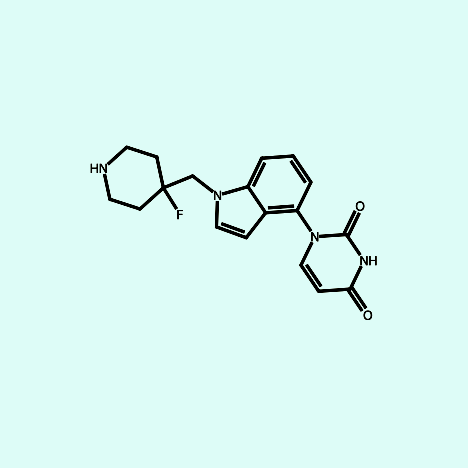 O=c1ccn(-c2cccc3c2ccn3CC2(F)CCNCC2)c(=O)[nH]1